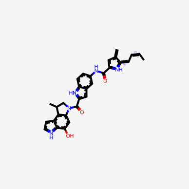 C=c1cc(C(=O)Nc2ccc3[nH]c(C(=O)N4CC(C)c5c4cc(O)c4[nH]ccc54)cc3c2)[nH]/c1=C/C=C\C